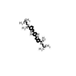 CN(C)CC/N=C(\N)c1ccc2cc(-c3ccc(-c4cc5ccc(/C(N)=N/CCN(C)C)cc5[nH]4)cc3)[nH]c2c1